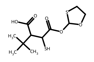 CC(C)(C)C(C(=O)O)C(S)C(=O)OC1OCCS1